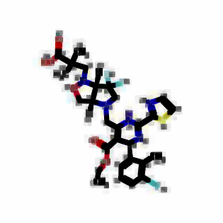 CCOC(=O)C1=C(CN2CC(F)(F)[C@@H]3[C@H]2CON3CC(C)(C)C(=O)O)NC(c2nccs2)=N[C@H]1c1cccc(F)c1C